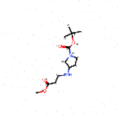 COC(=O)CCNC1CCN(C(=O)OC(C)(C)C)C1